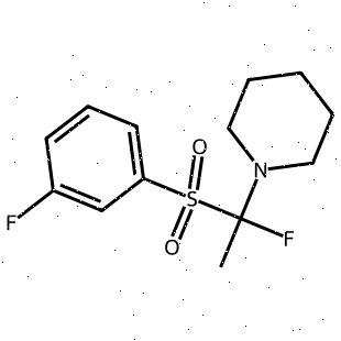 CC(F)(N1CCCCC1)S(=O)(=O)c1cccc(F)c1